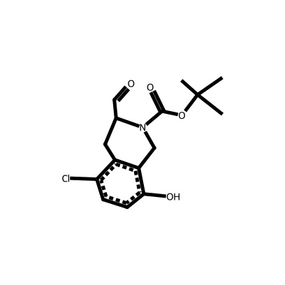 CC(C)(C)OC(=O)N1Cc2c(O)ccc(Cl)c2CC1C=O